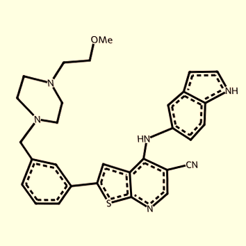 COCCN1CCN(Cc2cccc(-c3cc4c(Nc5ccc6[nH]ccc6c5)c(C#N)cnc4s3)c2)CC1